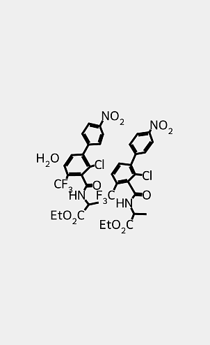 CCOC(=O)C(C)NC(=O)c1c(C(F)(F)F)ccc(-c2ccc([N+](=O)[O-])cc2)c1Cl.CCOC(=O)C(C)NC(=O)c1c(C(F)(F)F)ccc(-c2ccc([N+](=O)[O-])cc2)c1Cl.O